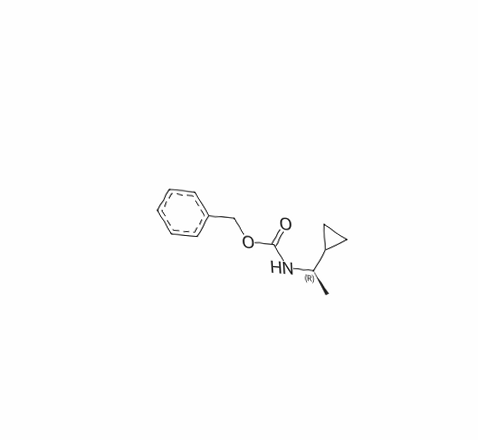 C[C@@H](NC(=O)OCc1ccccc1)C1CC1